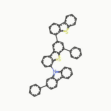 c1ccc(-c2ccc3c4ccccc4n(-c4cccc5c4sc4c(-c6ccccc6)cc(-c6cccc7c6sc6ccccc67)cc45)c3c2)cc1